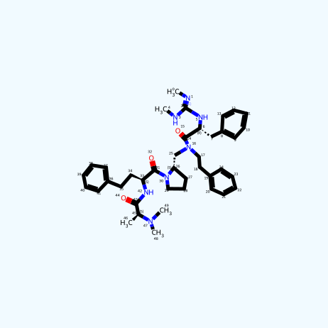 C/N=C(\NC)N[C@H](Cc1ccccc1)C(=O)N(CCc1ccccc1)C[C@@H]1CCCN1C(=O)[C@H](CCc1ccccc1)NC(=O)[C@H](C)N(C)C